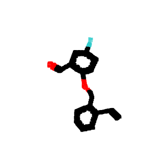 C=Cc1ccccc1COc1ccc(F)cc1C=O